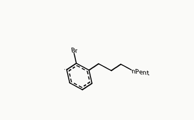 CCCCCCCCc1ccc[c]c1Br